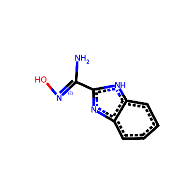 N/C(=N\O)c1nc2ccccc2[nH]1